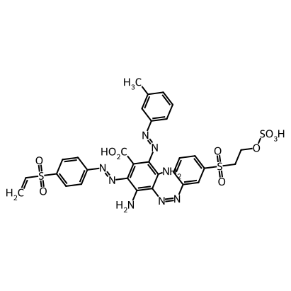 C=CS(=O)(=O)c1ccc(N=Nc2c(N)c(/N=N\c3cccc(S(=O)(=O)CCOS(=O)(=O)O)c3)c(N)c(N=Nc3cccc(C)c3)c2C(=O)O)cc1